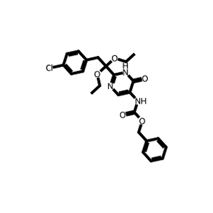 CCOC(Cc1ccc(Cl)cc1)(OCC)c1ncc(NC(=O)OCc2ccccc2)c(=O)[nH]1